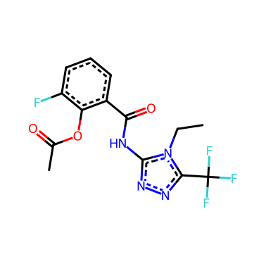 CCn1c(NC(=O)c2cccc(F)c2OC(C)=O)nnc1C(F)(F)F